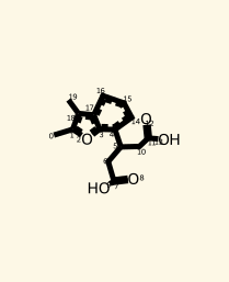 Cc1oc2c(C(CC(=O)O)CC(=O)O)cccc2c1C